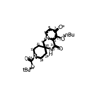 CCCCOc1c2n(ccc1=O)CC1(CCN(C(=O)OC(C)(C)C)CC1)NC2=O